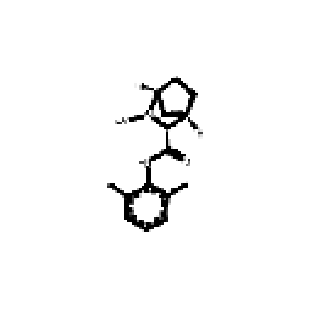 CCCN1[C@@H]2CC[C@@H](C2)[C@H]1C(=O)Nc1c(C)cccc1C